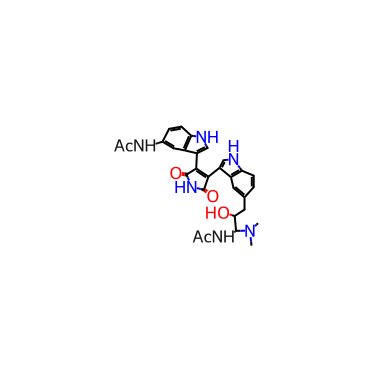 CC(=O)Nc1ccc2[nH]cc(C3=C(c4c[nH]c5ccc(CC(O)C(NC(C)=O)N(C)C)cc45)C(=O)NC3=O)c2c1